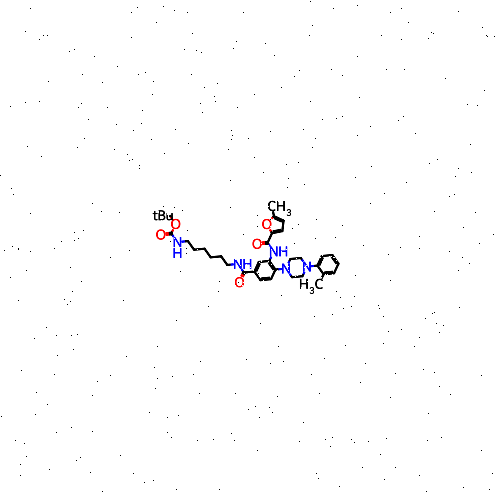 Cc1ccc(C(=O)Nc2cc(C(=O)NCCCCCCNC(=O)OC(C)(C)C)ccc2N2CCN(c3ccccc3C)CC2)o1